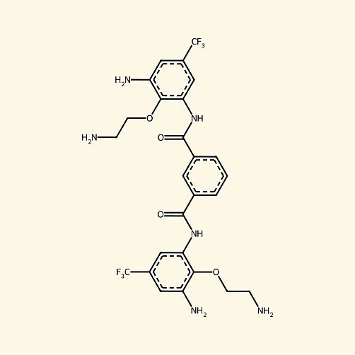 NCCOc1c(N)cc(C(F)(F)F)cc1NC(=O)c1cccc(C(=O)Nc2cc(C(F)(F)F)cc(N)c2OCCN)c1